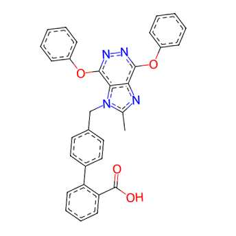 Cc1nc2c(Oc3ccccc3)nnc(Oc3ccccc3)c2n1Cc1ccc(-c2ccccc2C(=O)O)cc1